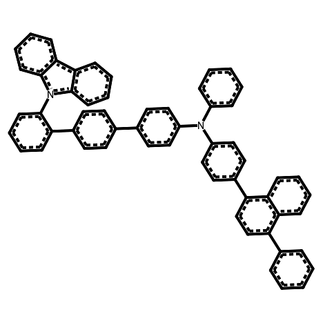 c1ccc(-c2ccc(-c3ccc(N(c4ccccc4)c4ccc(-c5ccc(-c6ccccc6-n6c7ccccc7c7ccccc76)cc5)cc4)cc3)c3ccccc23)cc1